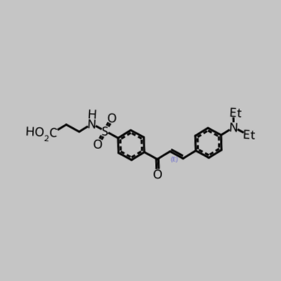 CCN(CC)c1ccc(/C=C/C(=O)c2ccc(S(=O)(=O)NCCC(=O)O)cc2)cc1